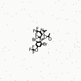 CC(=O)OCN(C(=O)c1sc(C)nc1C(F)(F)F)c1c(Br)cc(OC(F)(F)F)cc1Br